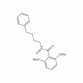 COc1cccc(OC)c1C(=O)[PH](=O)CCCCc1ccccc1